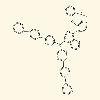 CC1(C)c2ccccc2Oc2c(-c3ccc(N(c4ccc(-c5ccc(-c6ccccc6)cc5)cc4)c4ccc(-c5ccc(-c6ccccc6)cc5)cc4)c4ccccc34)cccc21